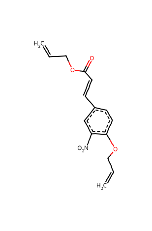 C=CCOC(=O)C=Cc1ccc(OCC=C)c([N+](=O)[O-])c1